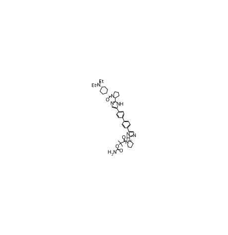 CCN(CC)[C@H]1CC[C@@H](C(=O)N2CCCC2c2ncc(-c3ccc(-c4ccc(-c5cnc([C@@H]6CCCN6C(=O)C(C)(C)OC(N)=O)[nH]5)cc4)cc3)[nH]2)CC1